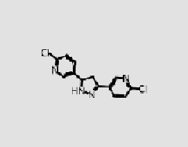 Clc1ccc(C2=NNC(c3ccc(Cl)nc3)C2)cn1